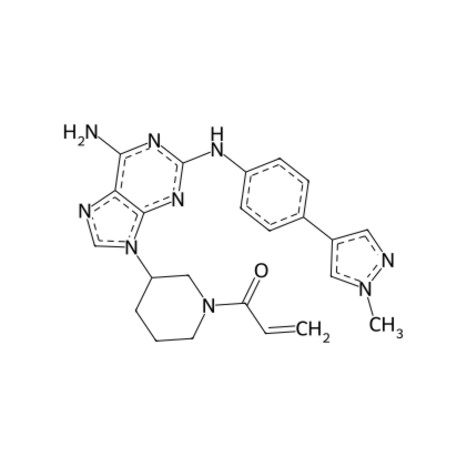 C=CC(=O)N1CCCC(n2cnc3c(N)nc(Nc4ccc(-c5cnn(C)c5)cc4)nc32)C1